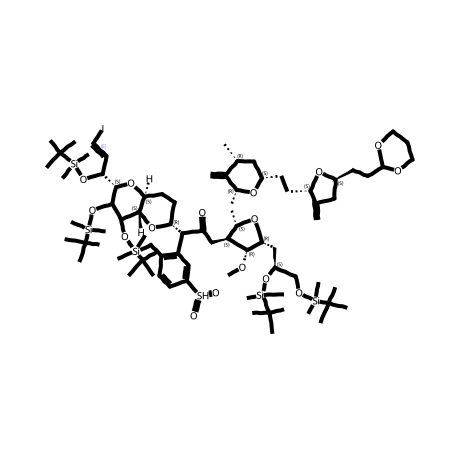 C=C1C[C@H](CCC2OCCCO2)O[C@H]1CC[C@H]1C[C@@H](C)C(=C)[C@@H](C[C@@H]2O[C@H](C[C@@H](CO[Si](C)(C)C(C)(C)C)O[Si](C)(C)C(C)(C)C)[C@H](OC)[C@H]2CC(=O)C(c2cc([SH](=O)=O)ccc2CC)[C@H]2CC[C@@H]3O[C@@H](C(/C=C/I)O[Si](C)(C)C(C)(C)C)C(O[Si](C)(C)C(C)(C)C)C(O[Si](C)(C)C(C)(C)C)[C@H]3O2)O1